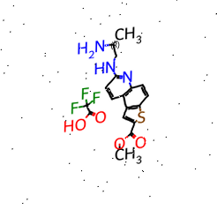 COC(=O)c1cc2c(ccc3nc(NC[C@@H](C)N)ccc32)s1.O=C(O)C(F)(F)F